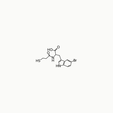 O=C(CCS)NC(Cc1c[nH]c2ccc(Br)cc12)C(=O)O